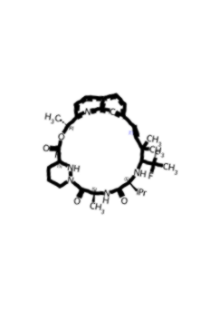 CC(C)[C@@H]1NC(C(C)(F)F)C(C)(C)/C=C/c2ccc3ccc(nc3c2)[C@@H](C)OC(=O)[C@@H]2CCCN(N2)C(=O)[C@H](C)NC1=O